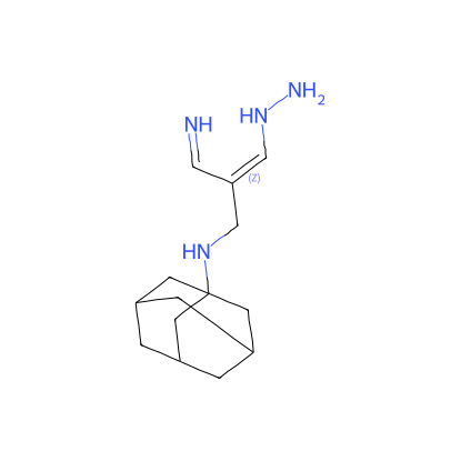 N=C/C(=C\NN)CNC12CC3CC(CC(C3)C1)C2